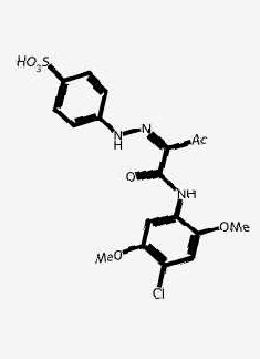 COc1cc(NC(=O)/C(=N\Nc2ccc(S(=O)(=O)O)cc2)C(C)=O)c(OC)cc1Cl